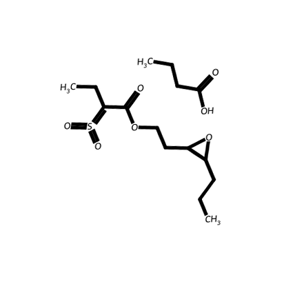 CCCC(=O)O.CCCC1OC1CCOC(=O)C(CC)=S(=O)=O